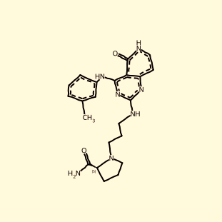 Cc1cccc(Nc2nc(NCCCN3CCC[C@H]3C(N)=O)nc3cc[nH]c(=O)c23)c1